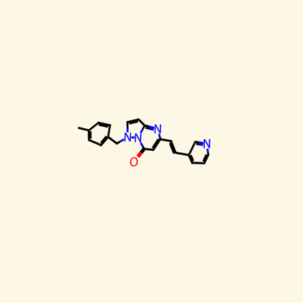 Cc1ccc(Cn2ccc3nc(/C=C/c4cccnc4)cc(=O)n32)cc1